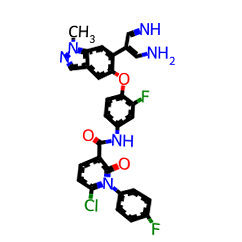 Cn1ncc2cc(Oc3ccc(NC(=O)c4ccc(Cl)n(-c5ccc(F)cc5)c4=O)cc3F)c(/C(C=N)=C/N)cc21